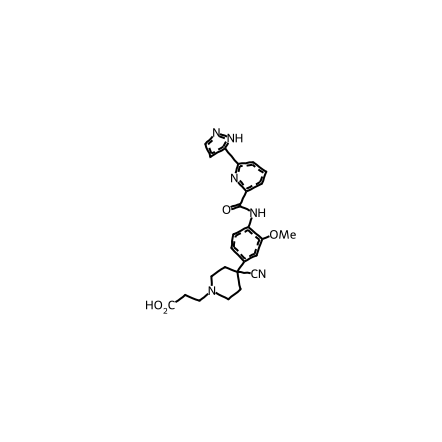 COc1cc(C2(C#N)CCN(CCC(=O)O)CC2)ccc1NC(=O)c1cccc(-c2ccn[nH]2)n1